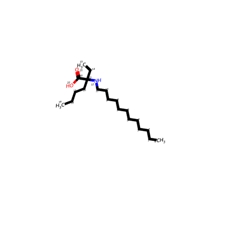 CCCCCCCCCCCCNC(CC)(CCCC)C(=O)O